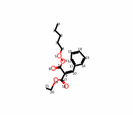 CCCCCOOC(=O)C(=Cc1ccccc1)C(=O)OCC